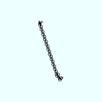 [N-]=[N+]=NCCOCCOCCOCCOCCOCCOCCOCCOCCOCCOCCOCCOCCOCCOCCOCCOCCOCCOCCOCCOC(=O)Oc1ccc([N+](=O)[O-])cc1